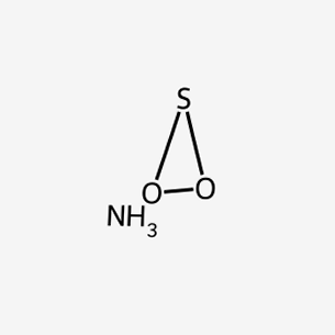 N.o1os1